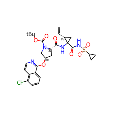 C=C[C@@H]1CC1(NC(=O)[C@@H]1C[C@@H](Oc2nccc3c(Cl)cccc23)CN1C(=O)OC(C)(C)C)C(=O)NS(=O)(=O)C1CC1